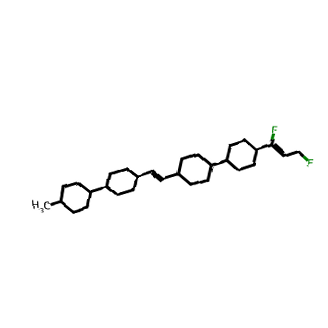 CC1CCC(C2CCC(/C=C/C3CCC(C4CCC(/C(F)=C/CF)CC4)CC3)CC2)CC1